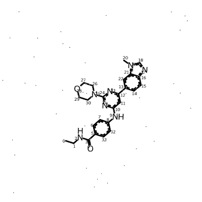 CCNC(=O)c1ccc(Nc2cc(-c3ccc4ncn(C)c4c3)nc(N3CCOCC3)n2)cc1